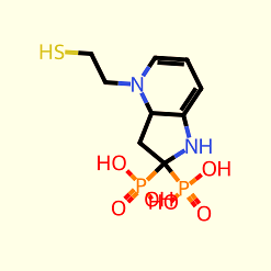 O=P(O)(O)C1(P(=O)(O)O)CC2C(=CC=CN2CCS)N1